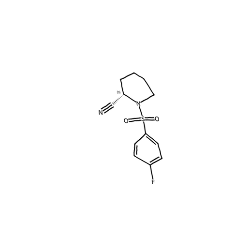 N#C[C@@H]1CCCCN1S(=O)(=O)c1ccc(F)cc1